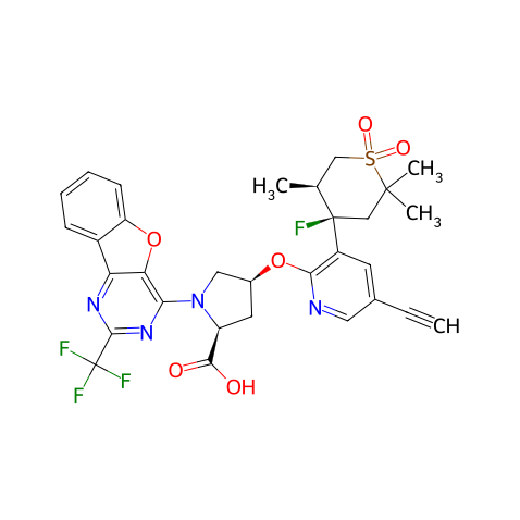 C#Cc1cnc(O[C@H]2C[C@@H](C(=O)O)N(c3nc(C(F)(F)F)nc4c3oc3ccccc34)C2)c([C@@]2(F)CC(C)(C)S(=O)(=O)C[C@@H]2C)c1